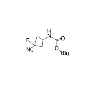 CC(C)(C)OC(=O)NC1CC(F)(C#N)C1